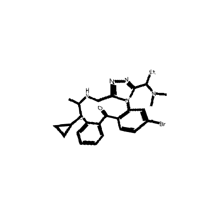 CCC(c1nnc(CNC(C)CC2CC2)n1-c1cc(Br)ccc1C(=O)c1ccccc1Cl)N(C)C